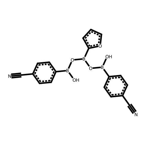 N#Cc1ccc(B(O)OB(OB(O)c2ccc(C#N)cc2)c2ccco2)cc1